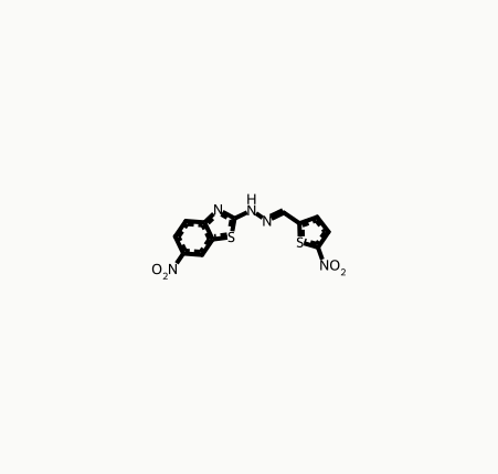 O=[N+]([O-])c1ccc2nc(NN=Cc3ccc([N+](=O)[O-])s3)sc2c1